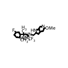 COc1cc2cc(CNC(O)(CC(C)(C)c3cc(F)ccc3C)C(F)(F)F)[nH]c2cn1